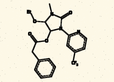 CCOC1C(OC(=O)Cc2ccccc2)N(c2cc(C(F)(F)F)ccn2)C(=O)N1C